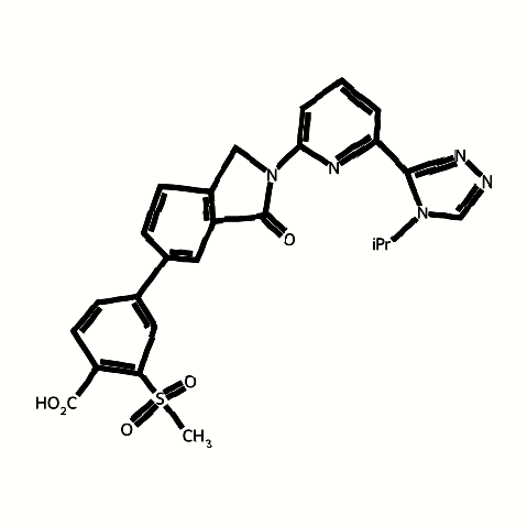 CC(C)n1cnnc1-c1cccc(N2Cc3ccc(-c4ccc(C(=O)O)c(S(C)(=O)=O)c4)cc3C2=O)n1